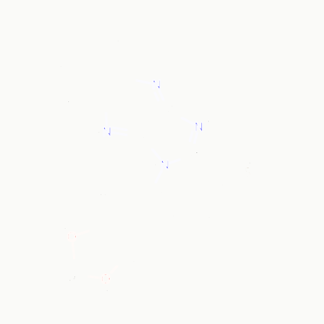 c1csc(-c2nc3nc4ccccc4nc3n2-c2ccc3c(c2)OCO3)c1